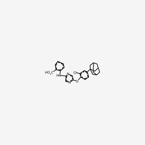 O=C(O)c1ccccc1Nc1cnc(Oc2ccc(C34CC5CC(CC(C5)C3)C4)cc2Cl)cn1